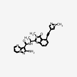 CC(NC(=O)c1c(N)nn2cccnc12)c1nc2cccc(C#Cc3cnn(C)c3)c2c(=O)n1C